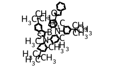 Cc1cc(C(C)(C)C)cc(C)c1N1c2cc(-c3cc4ccccc4o3)ccc2B2c3c1cccc3N(c1c(C)cc(C(C)(C)C)cc1C)c1sc3ccc(C(C)(C)C)cc3c12